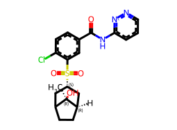 C[C@@]1(O)C2CC[C@@H]1C[C@@H](S(=O)(=O)c1cc(C(=O)Nc3cccnn3)ccc1Cl)C2